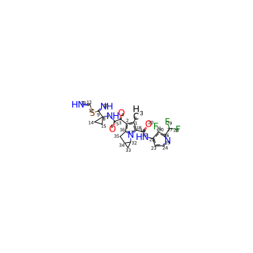 Cc1c(C(=O)C(=O)NC2(C(=N)SC=N)CC2)c2n(c1C(=O)Nc1ccnc(C(F)F)c1F)C1CC1C2